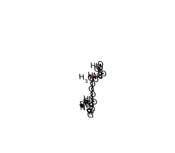 CN(CCOCCOCCOCCNC(=O)[C@]1(Cc2cccc(Nc3nccs3)n2)CC[C@@H](Oc2cccc(Cl)c2F)CC1)CC(=O)Nc1cccc2c1CN(C1CCC(=O)NC1=O)C2=O